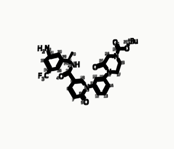 C[C@@H](NC(=O)c1ccc(=O)n(-c2cccc(N3CCN(C(=O)OC(C)(C)C)CC3=O)c2)c1)c1cc(N)cc(C(F)(F)F)c1